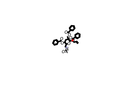 C=CCSC1OC(/C=N/[S@@+](C)[O-])C(OC(=O)c2ccccc2)CC1(COC(=O)c1ccccc1)OC(=O)c1ccccc1